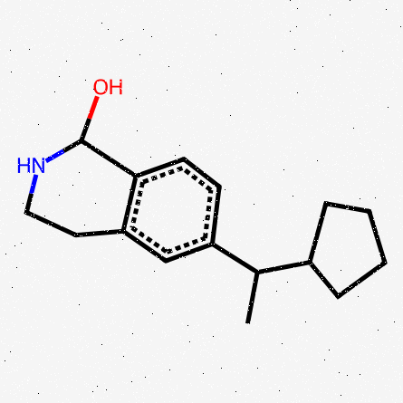 CC(c1ccc2c(c1)CCNC2O)C1CCCC1